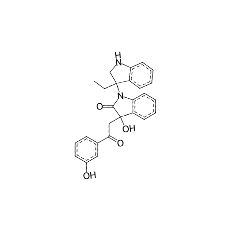 CCC1(N2C(=O)C(O)(CC(=O)c3cccc(O)c3)c3ccccc32)CNc2ccccc21